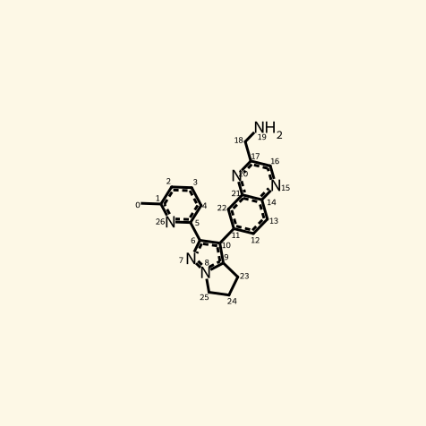 Cc1cccc(-c2nn3c(c2-c2ccc4ncc(CN)nc4c2)CCC3)n1